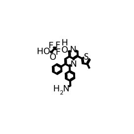 Cc1csc(-c2cnc(O)c3cc(-c4ccccc4)c(-c4ccc(CN)cc4)nc23)c1.O=C(O)C(F)(F)F